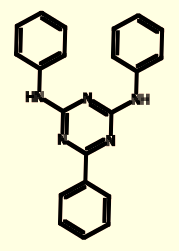 c1ccc(Nc2nc(Nc3ccccc3)nc(-c3ccccc3)n2)cc1